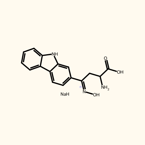 NC(C/C(=N\O)c1ccc2c(c1)[nH]c1ccccc12)C(=O)O.[NaH]